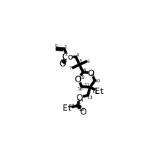 C=[CH][Co](=[O])[CH2]C(C)(C)C1OCC(CC)(COC(=O)CC)CO1